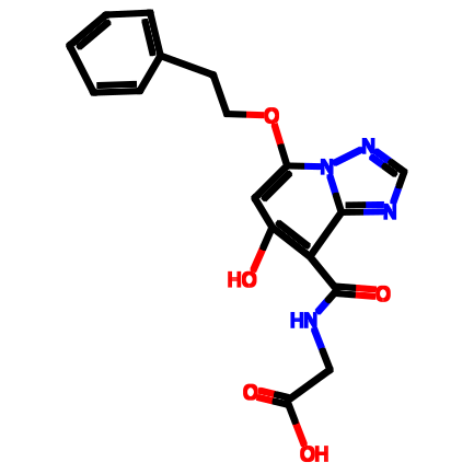 O=C(O)CNC(=O)c1c(O)cc(OCCc2ccccc2)n2ncnc12